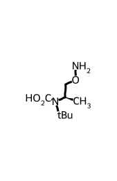 C[C@H](CON)N(C(=O)O)C(C)(C)C